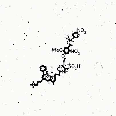 COc1cc(C(C)OC(=O)Oc2ccc([N+](=O)[O-])cc2)c([N+](=O)[O-])cc1OCCNC(=O)C(CS(=O)(=O)O)NC(=O)CCC1=[N+]2C(=Cc3c(CCC[N+](C)(C)C)cc(-c4ccccc4)n3[B-]2(F)F)C(C)=C1